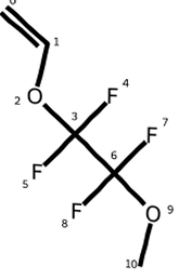 C=COC(F)(F)C(F)(F)OC